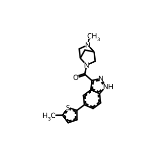 Cc1ccc(-c2ccc3[nH]nc(C(=O)N4CC5CC4CN5C)c3c2)s1